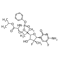 CC(C)OC(=O)[C@H](C)N[P@@](=O)(Oc1ccccc1)OC(C)(C)[C@H]1O[C@@H](n2cc(F)c(N)nc2=O)[C@](C)(F)C1O